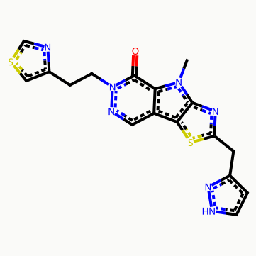 Cn1c2nc(Cc3cc[nH]n3)sc2c2cnn(CCc3cscn3)c(=O)c21